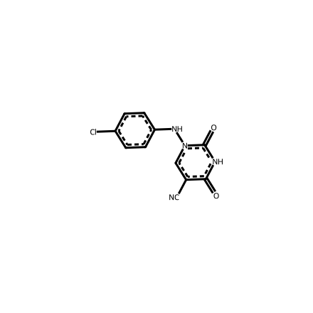 N#Cc1cn(Nc2ccc(Cl)cc2)c(=O)[nH]c1=O